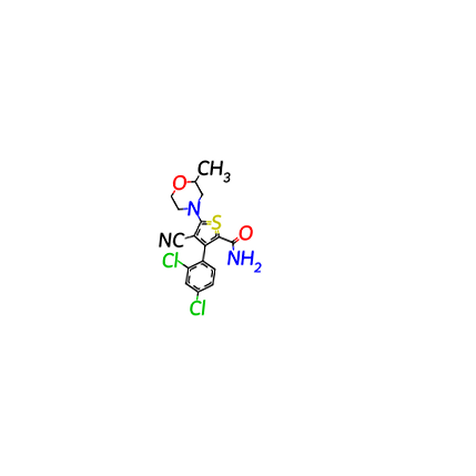 CC1CN(c2sc(C(N)=O)c(-c3ccc(Cl)cc3Cl)c2C#N)CCO1